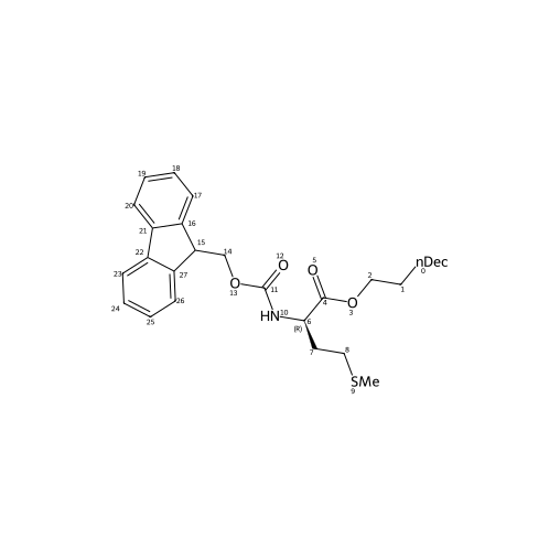 CCCCCCCCCCCCOC(=O)[C@@H](CCSC)NC(=O)OCC1c2ccccc2-c2ccccc21